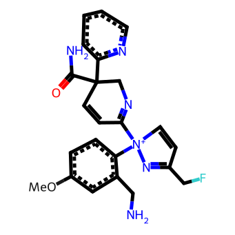 COc1ccc([N+]2(C3=NCC(C(N)=O)(c4ccccn4)C=C3)C=CC(CF)=N2)c(CN)c1